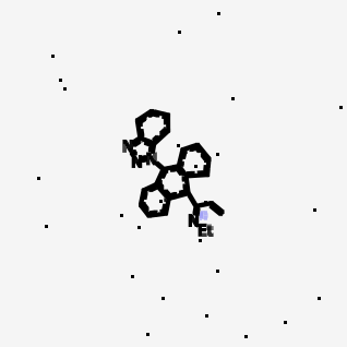 C=C/C(=N\CC)c1c2ccccc2c(-n2nnc3ccccc32)c2ccccc12